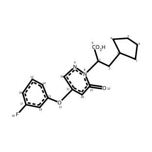 O=C(O)C(CC1CCCC1)n1ncc(Oc2cccc(F)c2)cc1=O